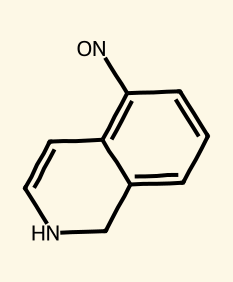 O=Nc1cccc2c1C=CNC2